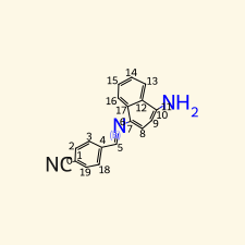 N#Cc1ccc(/C=N/c2ccc(N)c3ccccc23)cc1